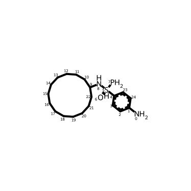 Nc1ccc([SH](=O)(P)NC2CCCCCCCCCCCCC2)cc1